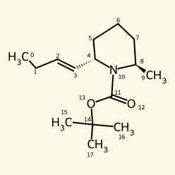 CCC=C[C@@H]1CCC[C@@H](C)N1C(=O)OC(C)(C)C